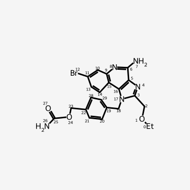 CCOCc1nc2c(N)nc3cc(Br)ccc3c2n1Cc1ccc(COC(N)=O)cc1